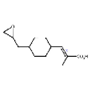 C/C(=C\C1CCC(CC2CO2)CC1)C(=O)O